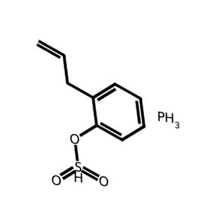 C=CCc1ccccc1O[SH](=O)=O.P